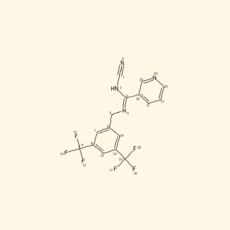 N#CN/C(=N\Cc1cc(C(F)(F)F)cc(C(F)(F)F)c1)c1cccnc1